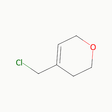 ClCC1=CCOCC1